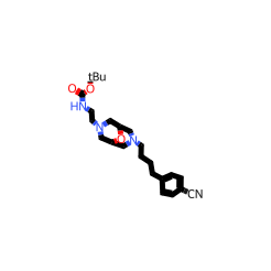 CC(C)(C)OC(=O)NCCN1CC2CN(CCCCc3ccc(C#N)cc3)CC(C1)O2